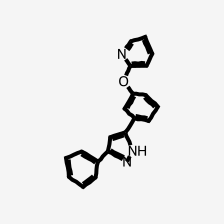 c1ccc(-c2cc(-c3cccc(Oc4ccccn4)c3)[nH]n2)cc1